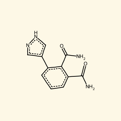 NC(=O)c1cccc(-c2cn[nH]c2)c1C(N)=O